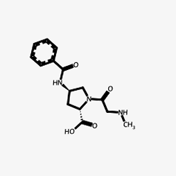 CNCC(=O)N1C[C@H](NC(=O)c2ccccc2)C[C@H]1C(=O)O